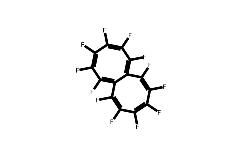 Fc1c(F)c(F)c(F)c2c(F)c(F)c(F)c(F)c(F)c(F)c-2c(F)c1F